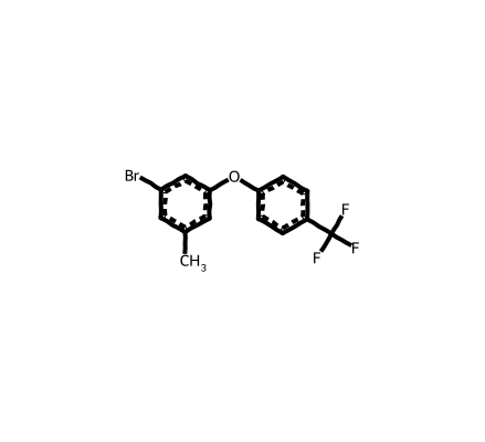 Cc1cc(Br)cc(Oc2ccc(C(F)(F)F)cc2)c1